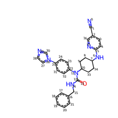 N#Cc1ccc(NC2CCC(N(C(=O)NCc3ccccc3)c3ccc(-n4ccnc4)cc3)CC2)nc1